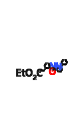 CCOC(=O)C=Cc1cccc(NC(=O)c2cccc(-c3ccccc3)n2)c1